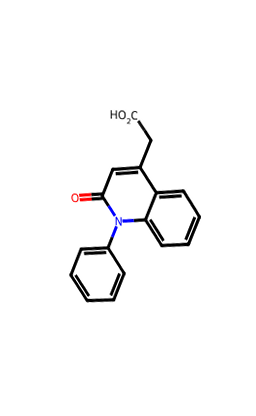 O=C(O)Cc1cc(=O)n(-c2ccccc2)c2ccccc12